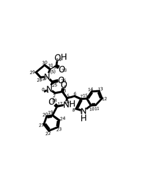 CN(CC(=O)C(Cc1c[nH]c2ccccc12)NC(=O)c1ccccc1)C(=O)N1CCC[C@H]1C(=O)O